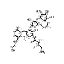 NC[C@@H](F)[C@H](O)C(=O)N[C@@H]1C[C@H](N)[C@@H](O[C@H]2OC(CNCCO)=CC[C@H]2N)[C@H](O[C@@H]2O[C@H](CO)[C@@H](O[C@H]3O[C@@H](CN)[C@@H](O)[C@H](O)[C@H]3N)[C@H]2O)[C@H]1O